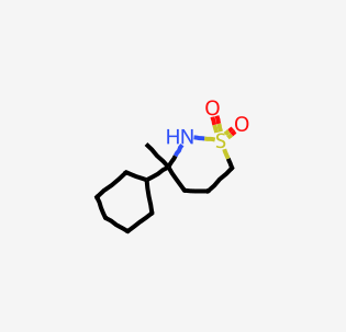 CC1(C2CCCCC2)CCCS(=O)(=O)N1